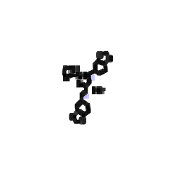 Br.C(=C\c1ccc2c(c1)OCO2)/C(/C=C/c1ccc2c(c1)OCO2)=NNC1=NCCN1